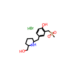 Br.CS(=O)(=O)Cc1cc(CC2CCCC(CO)N2)ccc1O